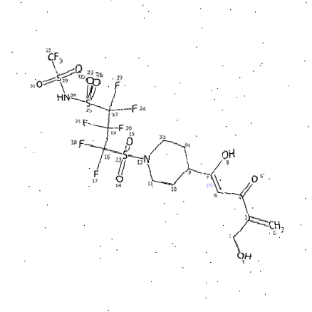 C=C(CO)C(=O)/C=C(\O)C1CCN(S(=O)(=O)C(F)(F)C(F)(F)C(F)(F)S(=O)(=O)NS(=O)(=O)C(F)(F)F)CC1